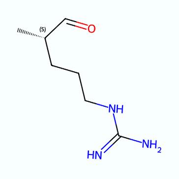 C[C@H](C=O)CCCNC(=N)N